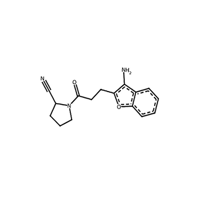 N#CC1CCCN1C(=O)CCc1oc2ccccc2c1N